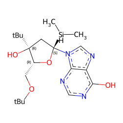 C[SiH](C)[C@]1(n2cnc3c(O)ncnc32)C[C@@](O)(C(C)(C)C)[C@@H](COC(C)(C)C)O1